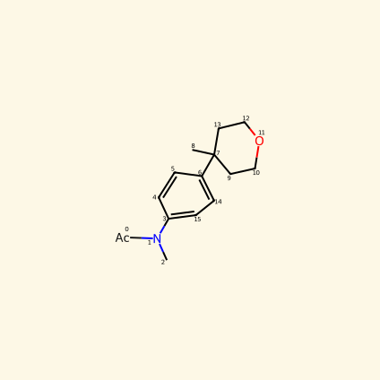 CC(=O)N(C)c1ccc(C2(C)CCOCC2)cc1